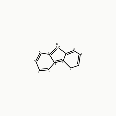 C1=CCC2=c3ccccc3=[O+]C2=C1